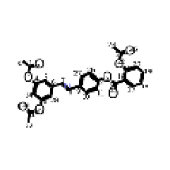 CC(=O)Oc1cc(/C=C/c2ccc(OC(=O)c3ccccc3OC(C)=O)cc2)cc(OC(C)=O)c1